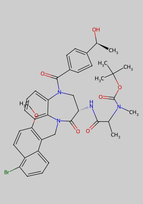 COc1ccc2c(Br)cccc2c1CN1C(=O)[C@@H](NC(=O)C(C)N(C)C(=O)OC(C)(C)C)CN(C(=O)c2ccc([C@H](C)O)cc2)c2ccccc21